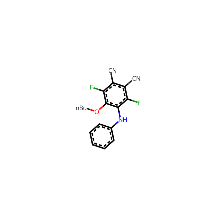 CCCCOc1c(F)c(C#N)c(C#N)c(F)c1Nc1ccccc1